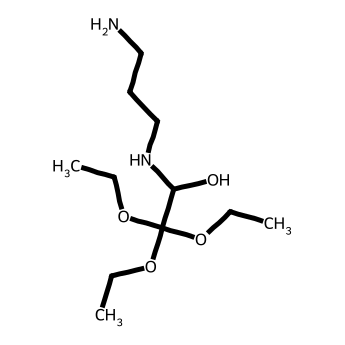 CCOC(OCC)(OCC)C(O)NCCCN